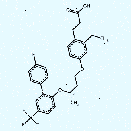 CCc1cc(OCC[C@H](C)Oc2ccc(C(F)(F)F)cc2-c2ccc(F)cc2)ccc1CCC(=O)O